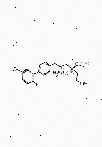 CCOC(=O)[C@](C)(CCO)C[C@H](N)Cc1ccc(-c2cc(Cl)ccc2F)cc1